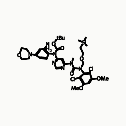 COc1cc(OC)c(Cl)c(N(COCC[Si](C)(C)C)C(=O)N(C)c2cc(N(C(=O)OC(C)(C)C)c3ccc(N4CCOCC4)cc3N)ncn2)c1Cl